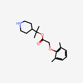 Cc1cccc(C)c1OCC(=O)OC(C)(C)C1CCNCC1